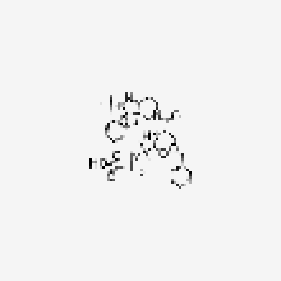 CC(C)(N)C(=O)NC(COCc1ccccc1)C(=O)N1CCC2=NN(C(C)(C)C)C(=O)C2(Cc2ccccc2)C1.CS(=O)(=O)O